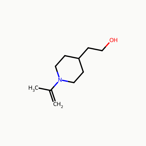 C=C(C)N1CCC(CCO)CC1